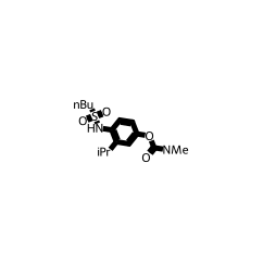 CCCCS(=O)(=O)Nc1ccc(OC(=O)NC)cc1C(C)C